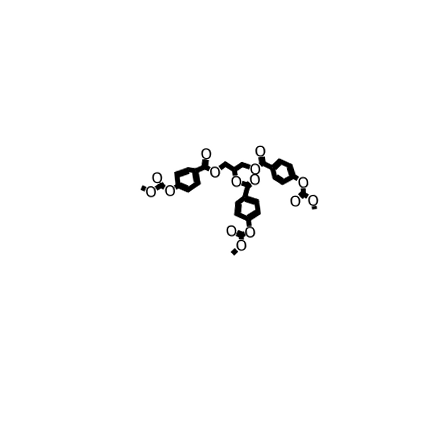 COC(=O)Oc1ccc(C(=O)OCC(COC(=O)c2ccc(OC(=O)OC)cc2)OC(=O)c2ccc(OC(=O)OC)cc2)cc1